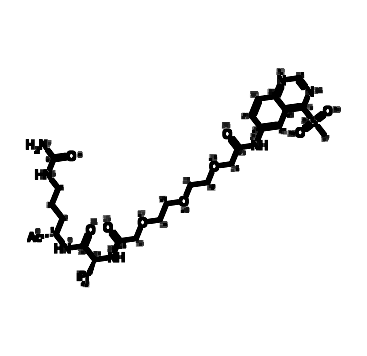 CC(=O)[C@H](CCCNC(N)=O)NC(=O)[C@@H](NC(=O)COCCOCCOCC(=O)Nc1ccc2ncnc(S(C)(=O)=O)c2c1)C(C)C